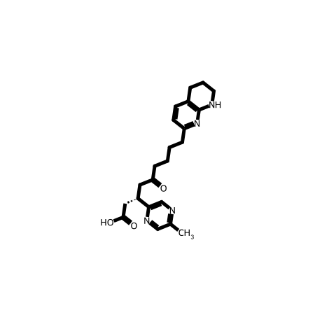 Cc1cnc([C@H](CC(=O)O)CC(=O)CCCCc2ccc3c(n2)NCCC3)cn1